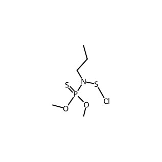 CCCN(SCl)P(=S)(OC)OC